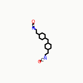 O=C=NCCC1CCC(CC2CCC(CCN=C=O)CC2)CC1